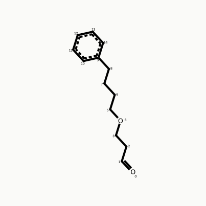 O=CCCOCCCCc1ccccc1